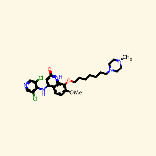 COc1ccc2c(Nc3c(Cl)cncc3Cl)cc(=O)[nH]c2c1OCCCCCCCN1CCN(C)CC1